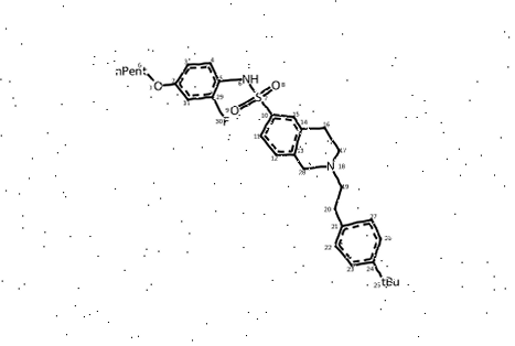 CCCCCOc1ccc(NS(=O)(=O)c2ccc3c(c2)CCN(CCc2ccc(C(C)(C)C)cc2)C3)c(F)c1